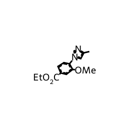 CCOC(=O)c1ccc(-n2cnc(C)c2)c(OC)c1